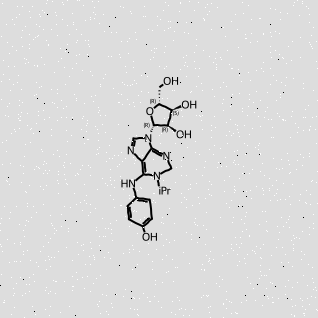 CC(C)N1CN=c2c(ncn2[C@@H]2O[C@H](CO)[C@@H](O)[C@H]2O)=C1Nc1ccc(O)cc1